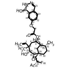 C=C[C@]1(C)C[C@@H](OC(=O)COc2ccc3c(c2)B(O)NN=C3)[C@@]2(C)C[C@](C[C@H](F)C(C)=O)(CC[C@H]2C)[C@@H](C)[C@@H]1O